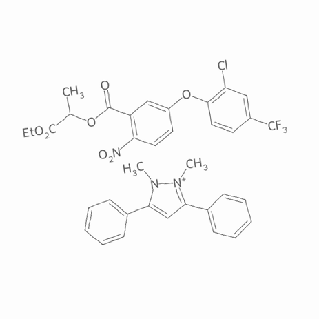 CCOC(=O)C(C)OC(=O)c1cc(Oc2ccc(C(F)(F)F)cc2Cl)ccc1[N+](=O)[O-].Cn1c(-c2ccccc2)cc(-c2ccccc2)[n+]1C